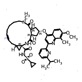 COc1ccc2c(O[C@@H]3C[C@H]4C(=O)N[C@]5(C(=O)NS(=O)(=O)C6CC6)C[C@H]5C/C=C\CCCCN(C)C(=O)[C@@H]4C3)cc(-c3cccc(C(C)C)n3)nc2c1C